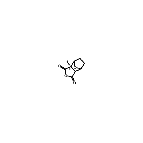 O=C1OC(=O)[C@@H]2C3CCC(O3)C12